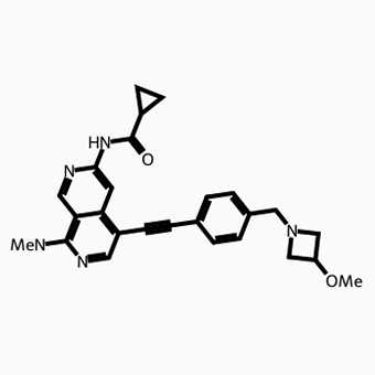 CNc1ncc(C#Cc2ccc(CN3CC(OC)C3)cc2)c2cc(NC(=O)C3CC3)ncc12